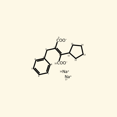 O=C([O-])C(Cc1ccccc1)=C(C(=O)[O-])C1CCCC1.[Na+].[Na+]